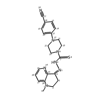 CN1CC/C(=N/NC(=S)N2CCN(c3ccc(C#N)cc3)CC2)c2ncccc21